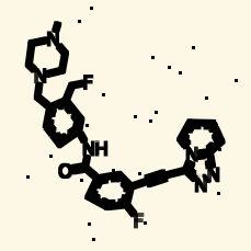 CN1CCN(Cc2ccc(NC(=O)c3ccc(F)c(C#Cc4nnc5ccccn45)c3)cc2CF)CC1